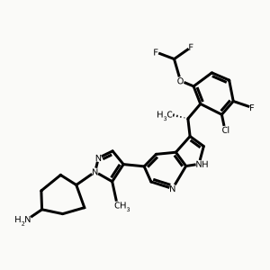 Cc1c(-c2cnc3[nH]cc([C@H](C)c4c(OC(F)F)ccc(F)c4Cl)c3c2)cnn1C1CCC(N)CC1